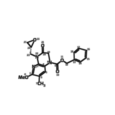 COc1nc2c(cc1C)N(C(=O)OCc1ccccc1)CC(=O)N2C[C@@H]1CO1